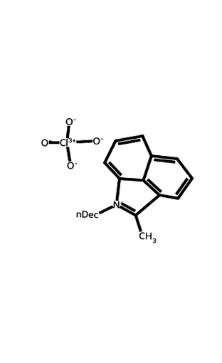 CCCCCCCCCC[N+]1=C(C)c2cccc3cccc1c23.[O-][Cl+3]([O-])([O-])[O-]